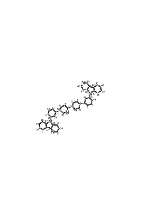 c1cc(-c2ccc(-c3ccc(-c4cccc(-n5c6ccccc6c6ncccc65)c4)cn3)nc2)cc(-n2c3ccccc3c3cnccc32)c1